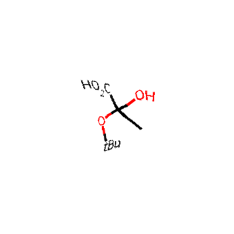 CC(C)(C)OC(C)(O)C(=O)O